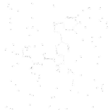 C[C@H](NC(=O)c1cn(COCC[Si](C)(C)C)c2ncc(-c3nn(C)c4cc(F)ccc34)nc12)c1ncco1